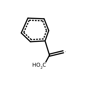 [CH]=C(C(=O)O)c1ccccc1